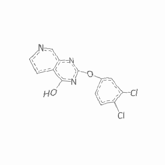 Oc1nc(Oc2ccc(Cl)c(Cl)c2)nc2cnccc12